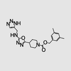 Cc1cc(C)cc(COC(=O)N2CCC(c3nnc(NCc4cnn[nH]4)o3)CC2)c1